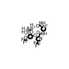 BC(B)(B)Oc1cc(OC(F)(F)F)ccc1Oc1cc(C(F)(F)F)cnc1C(=O)Nc1ccnc(C(N)=O)c1